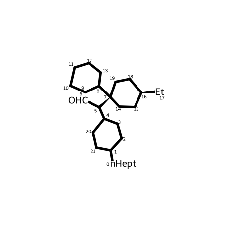 CCCCCCCC1CCC(C(C=O)[C@]2(C3CCCCC3)CC[C@H](CC)CC2)CC1